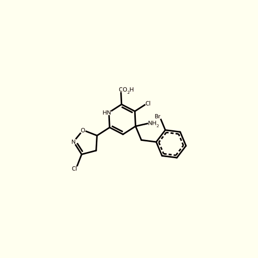 NC1(Cc2ccccc2Br)C=C(C2CC(Cl)=NO2)NC(C(=O)O)=C1Cl